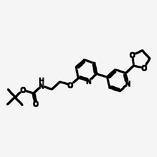 CC(C)(C)OC(=O)NCCOc1cccc(-c2ccnc(C3OCCO3)c2)n1